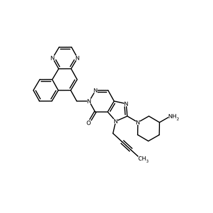 CC#CCn1c(N2CCCC(N)C2)nc2cnn(Cc3cc4nccnc4c4ccccc34)c(=O)c21